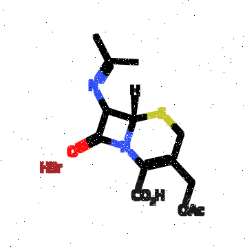 Br.CC(=O)OCC1=C(C(=O)O)N2C(=O)C(N=C(C)C)[C@@H]2SC1